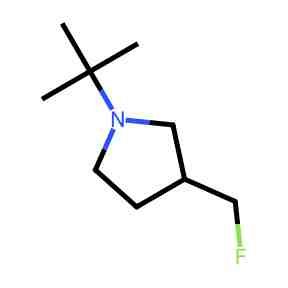 CC(C)(C)N1CCC(CF)C1